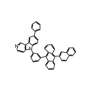 c1ccc(-c2ccc3c(c2)c2cnccc2n3-c2cccc(-c3c4ccccc4c(-c4ccc5ccccc5c4)c4ccccc34)c2)cc1